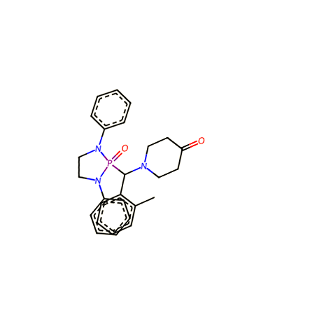 Cc1ccccc1C(N1CCC(=O)CC1)P1(=O)N(c2ccccc2)CCN1c1ccccc1